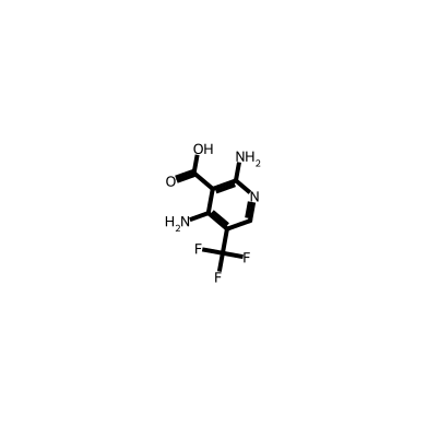 Nc1ncc(C(F)(F)F)c(N)c1C(=O)O